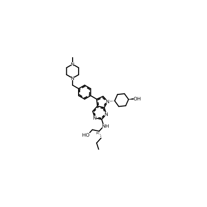 CCC[C@H](CO)Nc1ncc2c(-c3ccc(CN4CCN(C)CC4)cc3)cn([C@H]3CC[C@H](O)CC3)c2n1